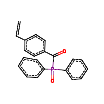 C=Cc1ccc(C(=O)P(=O)(c2ccccc2)c2ccccc2)cc1